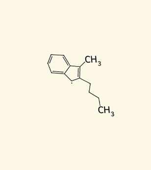 CCCCC1=C(C)c2ccccc2[CH]1